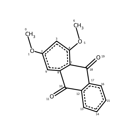 COc1cc(OC)c2c(c1)C(=O)c1ccccc1C2=O